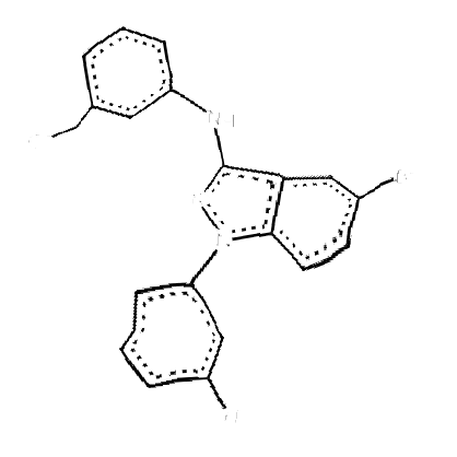 Clc1cccc(Nc2nn(-c3cccc(Cl)c3)c3ccc(Br)cc23)c1